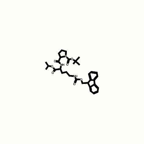 CC(C)OC(=O)C(CCCNC(=O)OCC1c2ccccc2-c2ccccc21)NC(=O)C1CCCN1C(=O)OC(C)(C)C